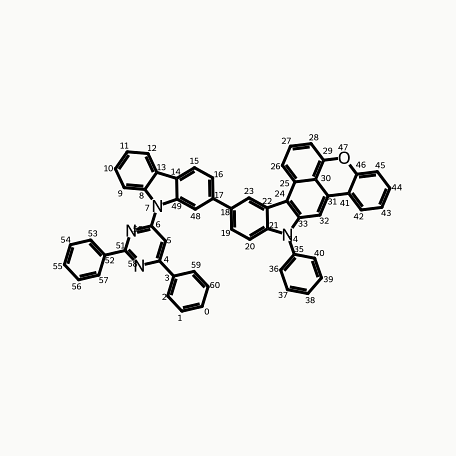 c1ccc(-c2cc(-n3c4ccccc4c4ccc(-c5ccc6c(c5)c5c7cccc8c7c(cc5n6-c5ccccc5)-c5ccccc5O8)cc43)nc(-c3ccccc3)n2)cc1